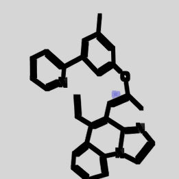 C=Cc1c(/C=C(\C)Oc2cc(C)cc(-c3ccccn3)c2)c2nccn2c2ccccc12